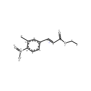 CCOC(=O)/C=C/c1ccc([N+](=O)[O-])c(C)c1